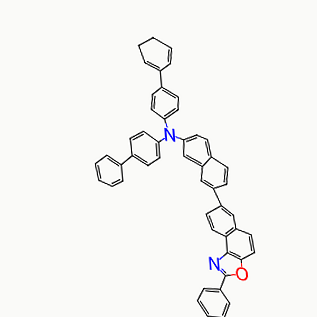 C1=CC(c2ccc(N(c3ccc(-c4ccccc4)cc3)c3ccc4ccc(-c5ccc6c(ccc7oc(-c8ccccc8)nc76)c5)cc4c3)cc2)=CCC1